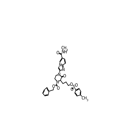 CNC(=O)c1ccc2nc(N3CCN(C(=O)OCc4ccccc4)C(CCCOS(=O)(=O)c4ccc(C)cc4)C3=O)cn2c1